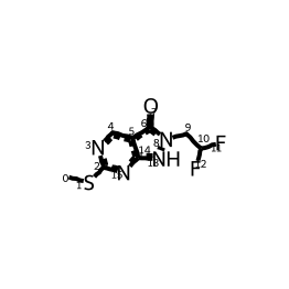 CSc1ncc2c(=O)n(CC(F)F)[nH]c2n1